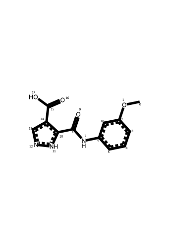 COc1cccc(NC(=O)c2[nH]ncc2C(=O)O)c1